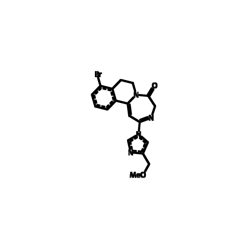 COCc1cn(C2=NCC(=O)N3CCc4c(Br)cccc4C3=C2)cn1